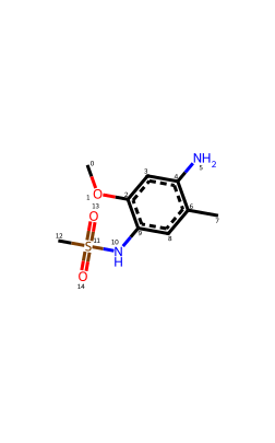 COc1cc(N)c(C)cc1NS(C)(=O)=O